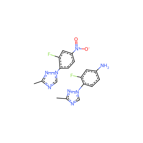 Cc1ncn(-c2ccc(N)cc2F)n1.Cc1ncn(-c2ccc([N+](=O)[O-])cc2F)n1